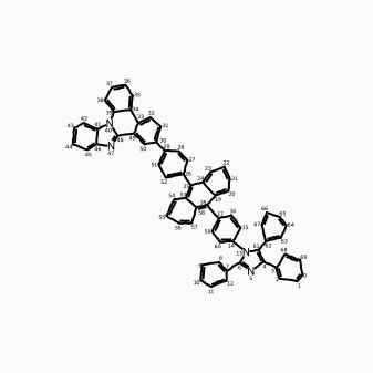 c1ccc(-c2nc(-c3ccccc3)n(-c3ccc(-c4c5ccccc5c(-c5ccc(-c6ccc7c8ccccc8n8c9ccccc9nc8c7c6)cc5)c5ccccc45)cc3)c2-c2ccccc2)cc1